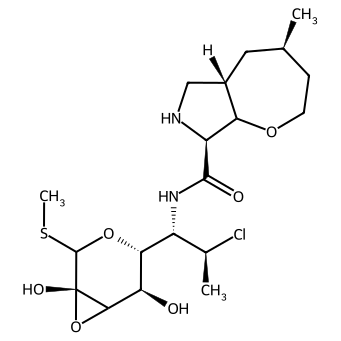 CSC1O[C@H]([C@H](NC(=O)[C@H]2NC[C@@H]3C[C@@H](C)CCOC32)[C@H](C)Cl)[C@@H](O)C2O[C@]12O